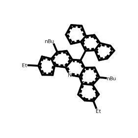 CCCCc1cc2c(-c3c4ccccc4cc4ccccc34)c3cc(CCCC)c4cc(CC)ccc4c3nc2c2ccc(CC)cc12